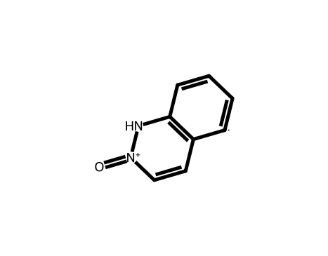 O=[n+]1ccc2[c]cccc2[nH]1